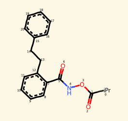 CC(C)C(=O)ONC(=O)c1ccccc1CCc1ccccc1